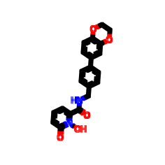 O=C(NCc1ccc(-c2ccc3c(c2)OCCO3)cc1)c1cccc(=O)n1O